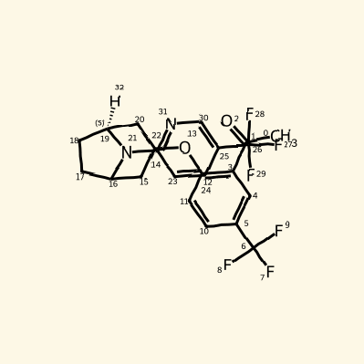 CC(=O)c1cc(C(F)(F)F)ccc1OC1CC2CC[C@@H](C1)N2c1ccc(C(F)(F)F)cn1